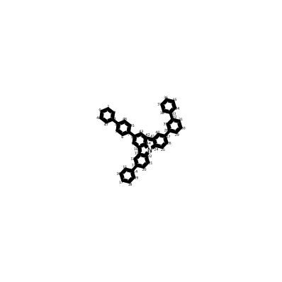 c1ccc(-c2ccc(-c3cc4c5cc(-c6ccccc6)ccc5n5c6ccc(-c7cccc(-c8ccccc8)c7)cc6c(c3)c45)cc2)cc1